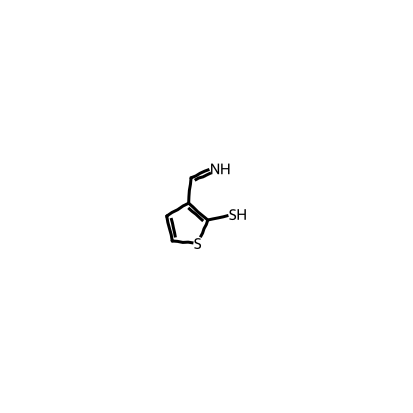 N=Cc1ccsc1S